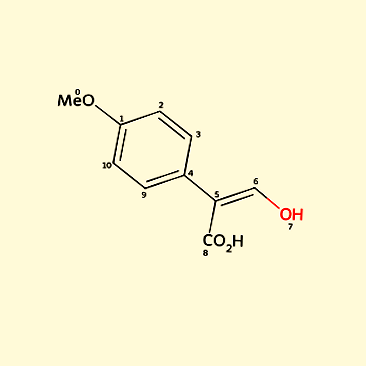 COc1ccc(C(=CO)C(=O)O)cc1